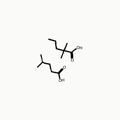 CC(C)CCC(=O)O.CCCC(C)(C)C(=O)O